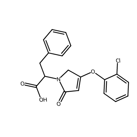 O=C(O)C(Cc1ccccc1)N1CC(Oc2ccccc2Cl)=CC1=O